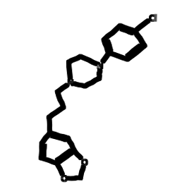 Clc1ccc(N2CCN(CCCc3ccc4c(c3)OCO4)CC2)cc1